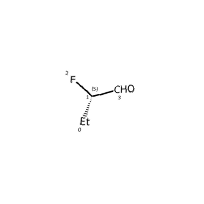 CC[C@H](F)C=O